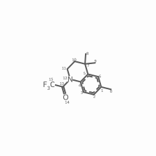 Cc1ccc2c(c1)C(C)(C)CCN2C(=O)C(F)(F)F